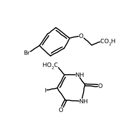 O=C(O)COc1ccc(Br)cc1.O=C(O)c1[nH]c(=O)[nH]c(=O)c1I